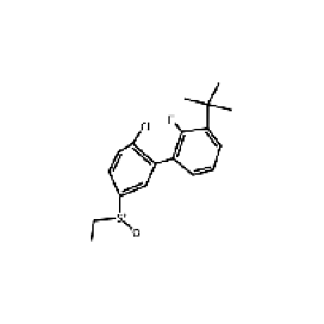 CC[S+]([O-])c1ccc(Cl)c(-c2cccc(C(C)(C)C)c2F)c1